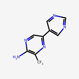 Nc1ncc(-c2cncnc2)nc1C(F)(F)F